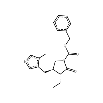 CC[C@H]1C(=O)N(C(=O)OCc2ccccc2)C[C@@H]1Cc1cncn1C